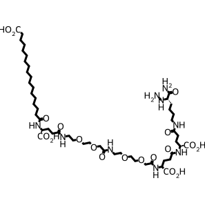 NN[C@@H](CCCCNC(=O)CC[C@H](NC(=O)CCC(NC(=O)COCCOCCNC(=O)COCCOCCNC(=O)CC[C@H](NC(=O)CCCCCCCCCCCCCCCCC(=O)O)C(=O)O)C(=O)O)C(=O)O)C(N)=O